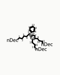 CCCCCCCCCCCCCCC[N+](CCCCCCCCCCCCCCC)(CCCCCCCCCCCCCCC)c1ccccc1